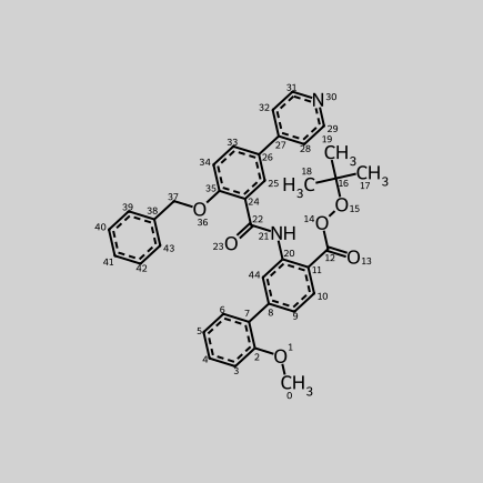 COc1ccccc1-c1ccc(C(=O)OOC(C)(C)C)c(NC(=O)c2cc(-c3ccncc3)ccc2OCc2ccccc2)c1